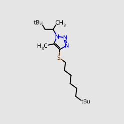 Cc1c(SCCCCCCC(C)(C)C)nnn1C(C)CC(C)(C)C